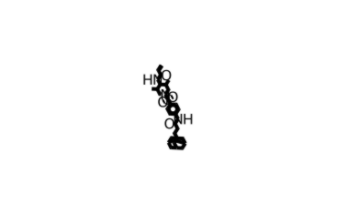 C=CC(=O)NC1C(C)CN(S(=O)(=O)c2ccc(NC(=O)CCC34CC5CC(CC(C5)C3)C4)cc2)CC1C